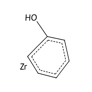 Oc1ccccc1.[Zr]